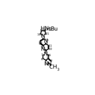 Cn1cc2c(n1)CCN(c1ccc3nc(N4CCC(NC(C)(C)C)C4)ccc3n1)C2